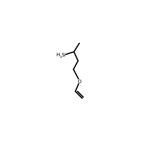 C=COCCC(C)[SiH3]